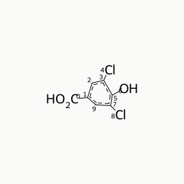 O=C(O)c1cc(Cl)c(O)c(Cl)c1